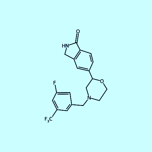 O=C1NCc2cc(C3CN(Cc4cc(F)cc(C(F)(F)F)c4)CCO3)ccc21